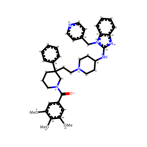 COc1cc(C(=O)N2CCCC(CCN3CCC(Nc4nc5ccccc5n4Cc4ccncc4)CC3)(c3ccccc3)C2)cc(OC)c1OC